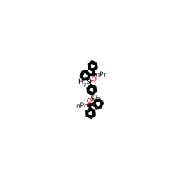 CCCC(O[SiH2]c1ccc([SiH2]OC(CCC)(c2ccccc2)c2ccccc2)cc1)(c1ccccc1)c1ccccc1